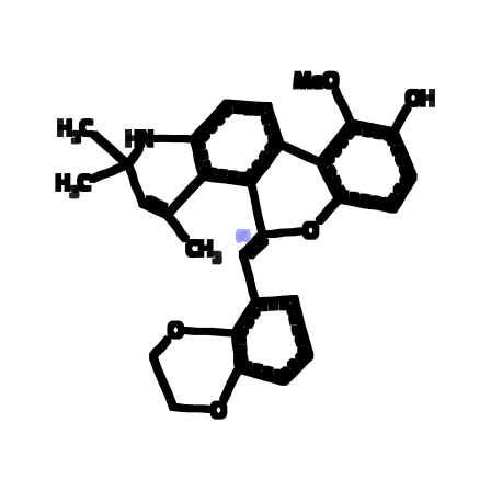 COc1c(O)ccc2c1-c1ccc3c(c1/C(=C/c1cccc4c1OCCO4)O2)C(C)=CC(C)(C)N3